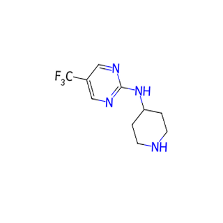 FC(F)(F)c1cnc(NC2CCNCC2)nc1